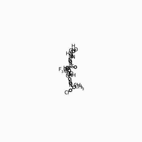 CC1(C)CCC(c2ccc(Cl)cc2)=C(CN2CCN(c3ccc(C(=O)NS(=O)(=O)c4ccc(N[C@H](CCN5CCN(Cc6cncc(NC7CCC(=O)NC7=O)n6)CC5)CSc5ccccc5)c(S(=O)(=O)C(F)(F)F)c4)cc3)CC2)C1